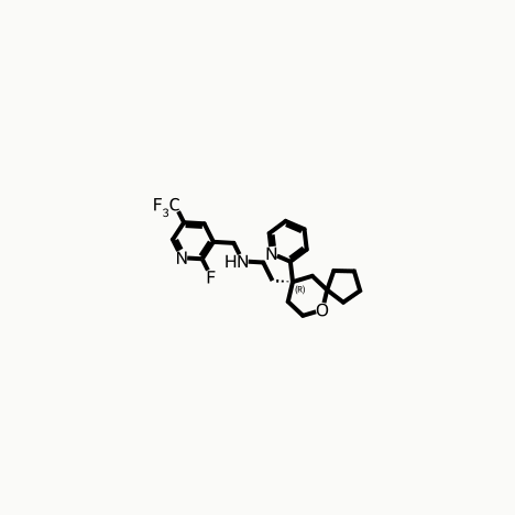 Fc1ncc(C(F)(F)F)cc1CNCC[C@@]1(c2ccccn2)CCOC2(CCCC2)C1